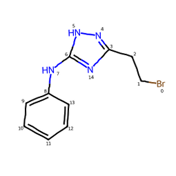 BrCCc1n[nH]c(Nc2ccccc2)n1